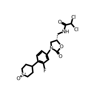 O=C(NC[C@H]1CN(c2ccc(C3CC[S+]([O-])CC3)c(F)c2)C(=O)O1)C(Cl)Cl